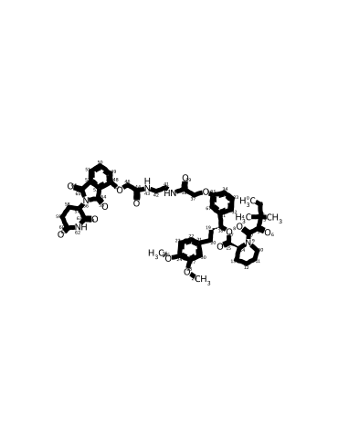 CCC(C)(C)C(=O)C(=O)N1CCCC[C@H]1C(=O)O[C@H](CCc1ccc(OC)c(OC)c1)c1cccc(OCC(=O)NCCNC(=O)COc2cccc3c2C(=O)N(C2CCC(=O)NC2=O)C3=O)c1